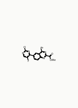 COC(=O)c1nc(C(C)C)c2cc(-c3nc(Cl)ncc3F)ccc2n1